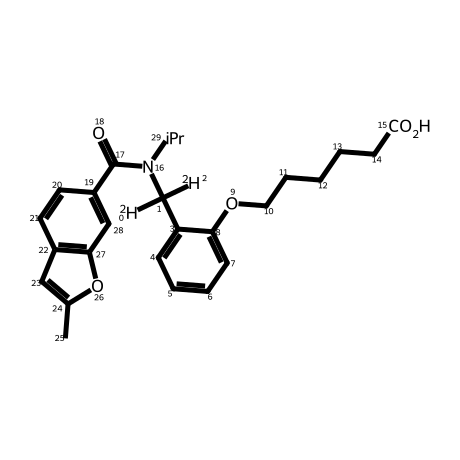 [2H]C([2H])(c1ccccc1OCCCCCC(=O)O)N(C(=O)c1ccc2cc(C)oc2c1)C(C)C